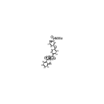 CNC(=O)c1cc(Oc2ccc(C(=O)NNC(=O)c3ccccc3F)cc2)ccn1